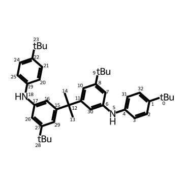 CC(C)(C)c1ccc(Nc2cc(C(C)(C)C)cc(C(C)(C)c3cc(Nc4ccc(C(C)(C)C)cc4)cc(C(C)(C)C)c3)c2)cc1